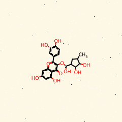 CC1CC(C(O)Oc2c(-c3ccc(O)c(O)c3)oc3cc(O)cc(O)c3c2=O)C(O)C1O